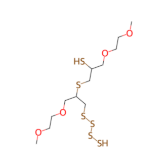 COCCOCC(S)CSC(COCCOC)CSSSS